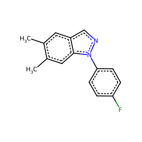 Cc1cc2cnn(-c3ccc(F)cc3)c2cc1C